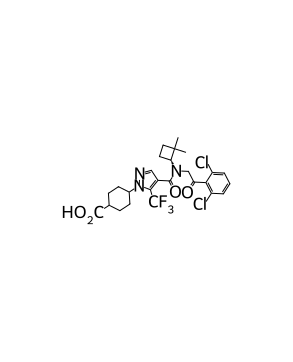 CC1(C)CC[C@@H]1N(CC(=O)c1c(Cl)cccc1Cl)C(=O)c1cnn(C2CCC(C(=O)O)CC2)c1C(F)(F)F